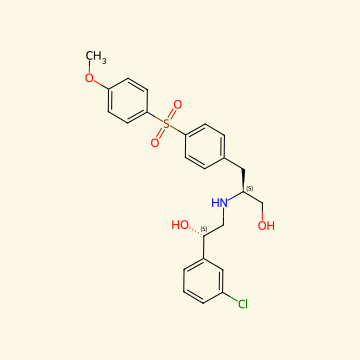 COc1ccc(S(=O)(=O)c2ccc(C[C@@H](CO)NC[C@@H](O)c3cccc(Cl)c3)cc2)cc1